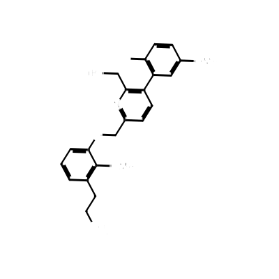 CCOC(=O)CCc1cccc(OCc2ccc(-c3cc(OC)ccc3F)c(CC(C)(C)C)n2)c1OC